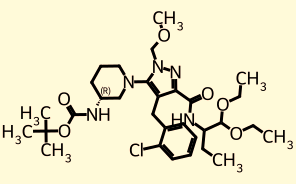 CCOC(OCC)C(CC)NC(=O)c1nn(COC)c(N2CCC[C@@H](NC(=O)OC(C)(C)C)C2)c1Cc1ccccc1Cl